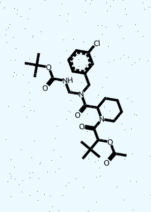 CC(=O)OC(C(=O)N1CCCCC1C(=O)N(CNC(=O)OC(C)(C)C)Cc1cccc(Cl)c1)C(C)(C)C